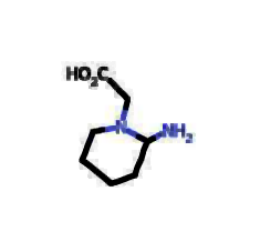 NC1CCCCN1CC(=O)O